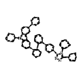 c1ccc(-c2ccc3c(c2)c2cc(-c4ccccc4-c4ccccc4-c4ccc(-c5nnc(-c6ccccc6)n5-c5ccccc5)cc4)ccc2n3-c2ccccc2)cc1